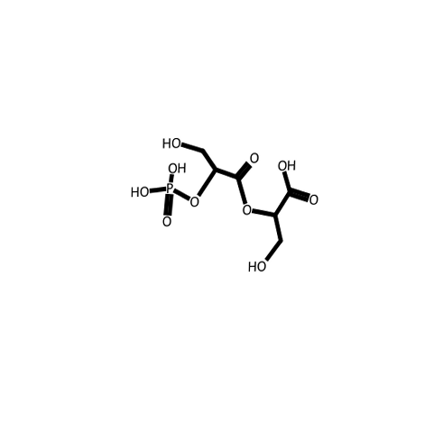 O=C(O)C(CO)OC(=O)C(CO)OP(=O)(O)O